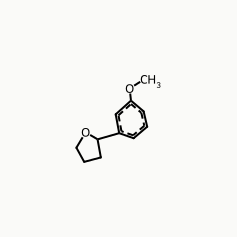 COc1cccc(C2CCCO2)c1